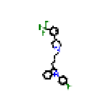 Fc1ccc(-n2cc(CCCCN3CCC(c4cccc(C(F)(F)F)c4)CC3)c3ccccc32)cc1